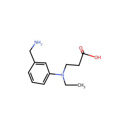 CCN(CCC(=O)O)c1cccc(CN)c1